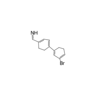 N=CC1=CC=C(C2=CC(Br)=CCC2)CC1